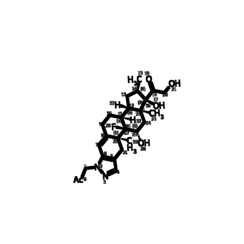 CC(=O)Cn1ncc2c1C=C1CC[C@H]3[C@@H]4C[C@@H](C)[C@](O)(C(=O)CO)[C@@]4(C)C[C@H](O)[C@]3(F)[C@@]1(C)C2